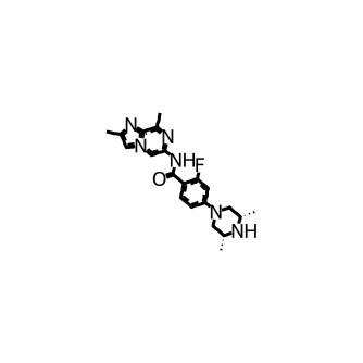 Cc1cn2cc(NC(=O)c3ccc(N4C[C@@H](C)N[C@@H](C)C4)cc3F)nc(C)c2n1